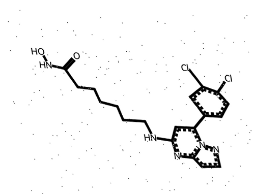 O=C(CCCCCCNc1cc(-c2ccc(Cl)c(Cl)c2)n2nccc2n1)NO